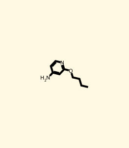 CCCCOc1cc(N)ccn1